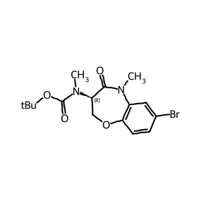 CN1C(=O)[C@H](N(C)C(=O)OC(C)(C)C)COc2ccc(Br)cc21